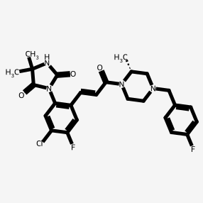 C[C@@H]1CN(Cc2ccc(F)cc2)CCN1C(=O)C=Cc1cc(F)c(Cl)cc1N1C(=O)NC(C)(C)C1=O